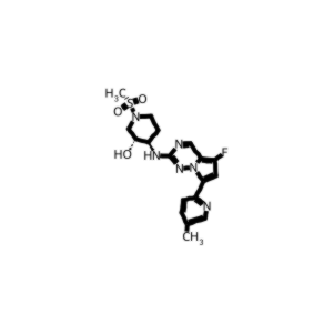 Cc1ccc(-c2cc(F)c3cnc(N[C@@H]4CCN(S(C)(=O)=O)C[C@H]4O)nn23)nc1